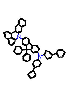 c1ccc(-c2ccc(N(c3ccc(-c4ccccc4)cc3)c3ccc4c(c3)C(c3ccccc3)(c3ccccc3)c3cc(N5c6cc7ccccc7cc6-c6cccc7cccc5c67)ccc3-4)cc2)cc1